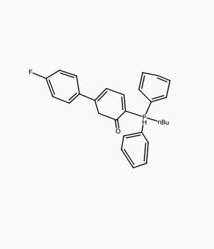 CCCC[PH](C1=CC=C(c2ccc(F)cc2)CC1=O)(c1ccccc1)c1ccccc1